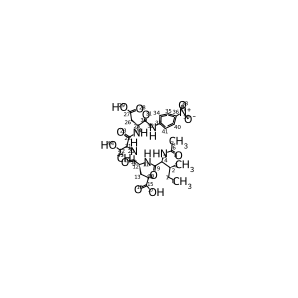 CC[C@H](C)[C@H](NC(C)=O)C(=O)N[C@@H](CCC(=O)O)C(=O)N[C@H](C(=O)N[C@@H](CC(=O)O)C(=O)Nc1ccc([N+](=O)[O-])cc1)[C@@H](C)O